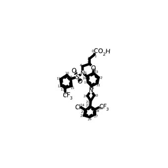 O=C(O)CCC1CN(S(=O)(=O)c2cccc(C(F)(F)F)c2)c2cc(N3CC(c4c(Cl)cccc4C(F)(F)F)C3)ccc2O1